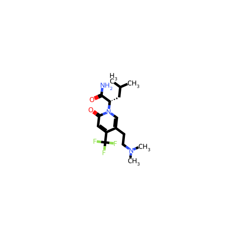 CC(C)C[C@@H](C(N)=O)n1cc(CCN(C)C)c(C(F)(F)F)cc1=O